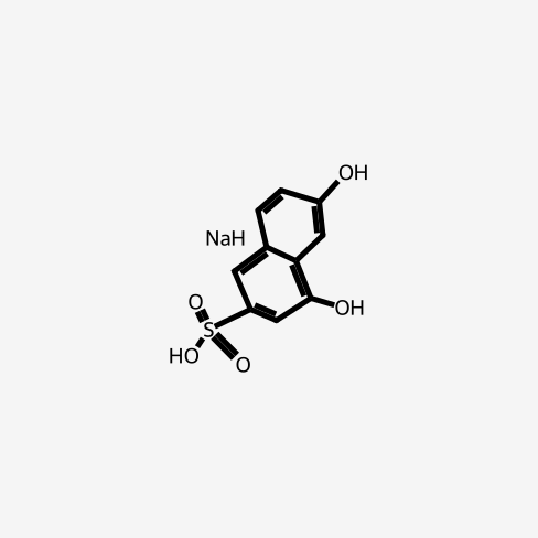 O=S(=O)(O)c1cc(O)c2cc(O)ccc2c1.[NaH]